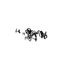 CC1CCCCN1S(=O)(=O)c1ccc2[nH]c(=O)cc(C(=O)NCCCN3CCN(c4ccccc4F)CC3)c2c1